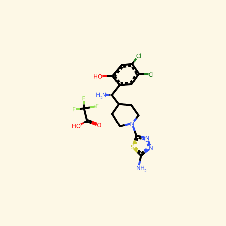 Nc1nnc(N2CCC([C@@H](N)c3cc(Cl)c(Cl)cc3O)CC2)s1.O=C(O)C(F)(F)F